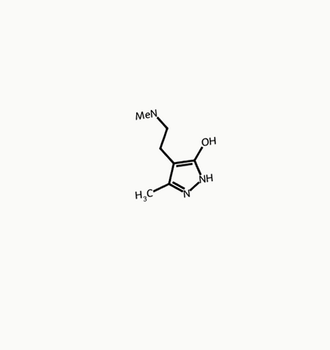 CNCCc1c(C)n[nH]c1O